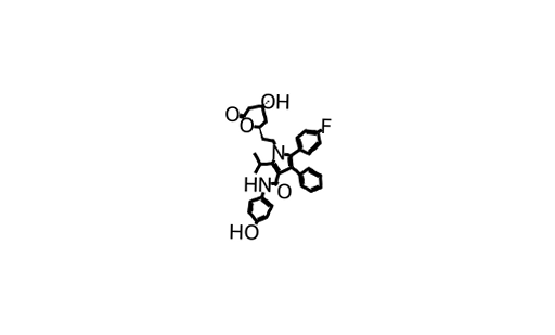 CC(C)c1c(C(=O)Nc2ccc(O)cc2)c(-c2ccccc2)c(-c2ccc(F)cc2)n1CC[C@@H]1C[C@@H](O)CC(=O)O1